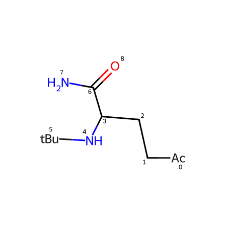 CC(=O)CCC(NC(C)(C)C)C(N)=O